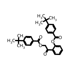 CC(C)(C)c1ccc(C(=O)OCC(=O)c2ccccc2OC(=O)c2ccc(C(C)(C)C)cc2)cc1